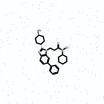 CCC[C@H]1CC[C@H](c2nc3ccc(-c4ccccc4)cc3n2CCC(=O)N(CC)C2CCCCC2)CC1